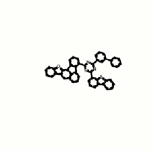 c1ccc(-c2cccc(-c3nc(-c4cccc5c4-c4cccc6cc7c(oc8ccccc87)c-5c46)nc(-c4cccc5c4sc4ccccc45)n3)c2)cc1